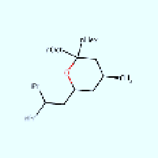 CCCCCCCCC1(CCCCCC)C[C@@H](C)CC(CC(CCC)C(C)C)O1